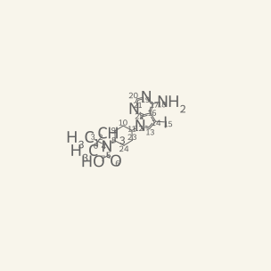 CC(C)(C)N(C(=O)O)[C@H]1CC[C@@H](n2cc(I)c3c(N)ncnc32)CC1